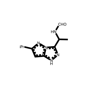 CC(C)c1cc2[nH]nc(C(C)NC=O)n2n1